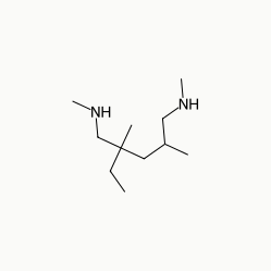 CCC(C)(CNC)CC(C)CNC